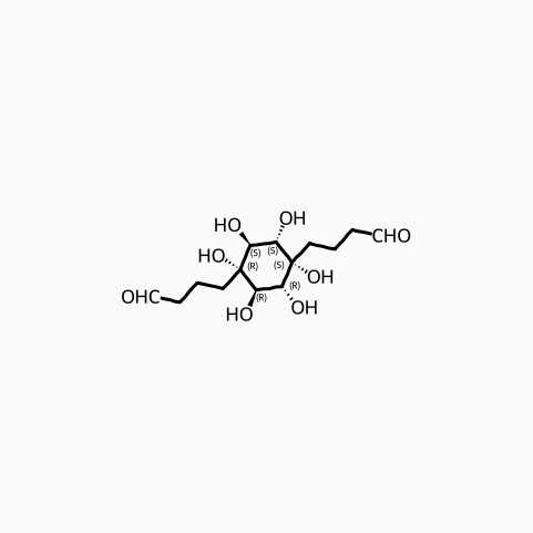 O=CCCC[C@@]1(O)[C@H](O)[C@@H](O)[C@@](O)(CCCC=O)[C@@H](O)[C@@H]1O